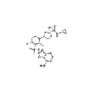 Nc1ncnc2c1ncn2Cc1c(N2CC[C@](N)(C(=O)NC3CC3)C2)ccc(F)c1C(F)(F)F